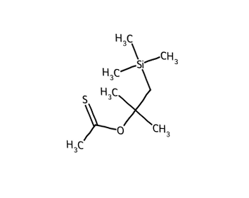 CC(=S)OC(C)(C)C[Si](C)(C)C